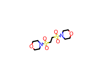 O=S(=O)(CCS(=O)(=O)N1CCOCC1)N1CCOCC1